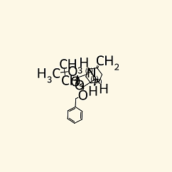 C=C1C[C@H]2CC[C@@H]1N(C(=O)OC(C)(C)C)[C@H]2C(=O)OCc1ccccc1